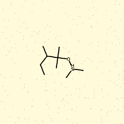 CCC(C)C(C)(C)O[SiH](C)C